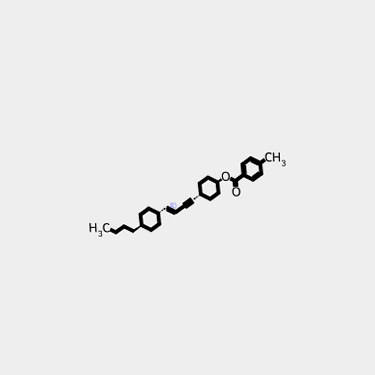 CCCC[C@H]1CC[C@H](/C=C/C#C[C@H]2CC[C@H](OC(=O)c3ccc(C)cc3)CC2)CC1